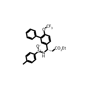 CCOC(=O)C[C@H](N[S@+]([O-])c1ccc(C)cc1)c1ccc(OC(F)(F)F)c(-c2ccccc2)c1